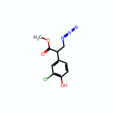 COC(=O)C(CN=[N+]=[N-])c1ccc(O)c(Cl)c1